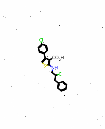 O=C(O)c1c(-c2ccc(Cl)cc2)csc1NCC(Cl)Cc1ccccc1